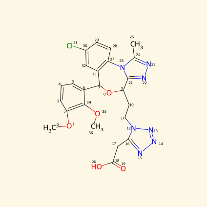 COc1cccc(C2OC(CCn3nnnc3CC(=O)O)c3nnc(C)n3-c3ccc(Cl)cc32)c1OC